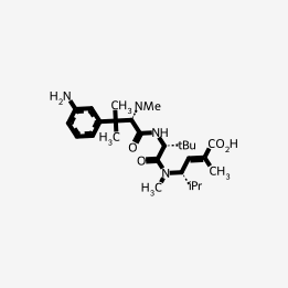 CN[C@H](C(=O)N[C@@H](C(=O)N(C)[C@H](/C=C(\C)C(=O)O)C(C)C)C(C)(C)C)C(C)(C)c1cccc(N)c1